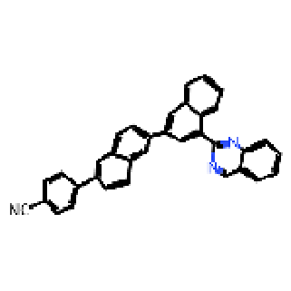 N#Cc1ccc(-c2ccc3cc(-c4cc(-c5ncc6ccccc6n5)c5ccccc5c4)ccc3c2)cc1